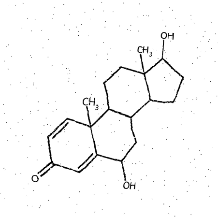 CC12C=CC(=O)C=C1C(O)CC1C2CCC2(C)C(O)CCC12